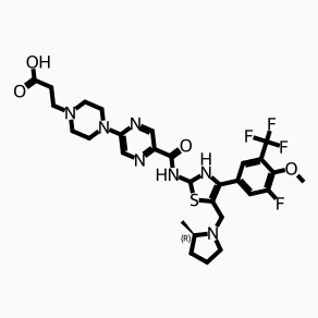 COc1c(F)cc(C2=C(CN3CCC[C@H]3C)SC(NC(=O)c3cnc(N4CCN(CCC(=O)O)CC4)cn3)N2)cc1C(F)(F)F